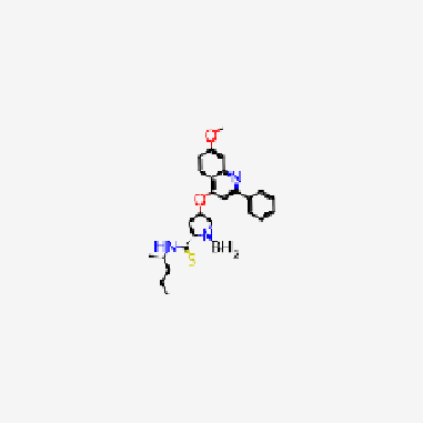 BN1C[C@H](Oc2cc(-c3ccccc3)nc3cc(OC)ccc23)C[C@H]1C(=S)N[C@H](C)CCC